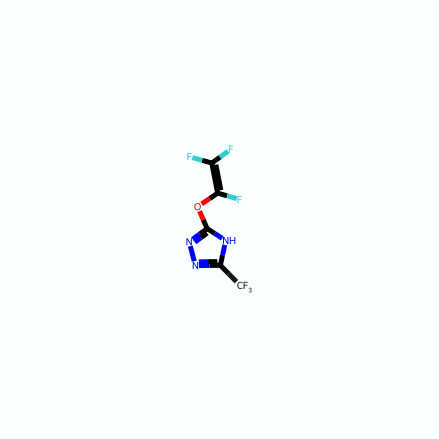 FC(F)=C(F)Oc1nnc(C(F)(F)F)[nH]1